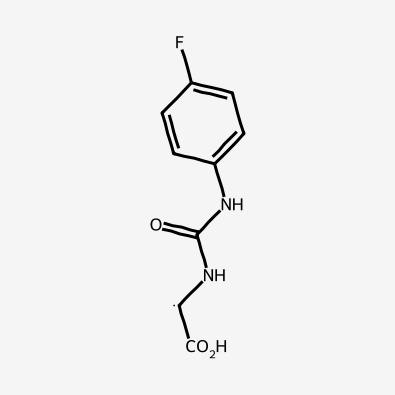 O=C(O)[CH]NC(=O)Nc1ccc(F)cc1